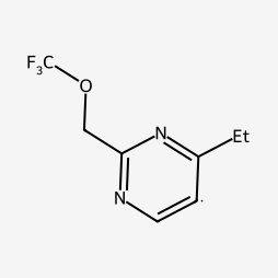 CCc1[c]cnc(COC(F)(F)F)n1